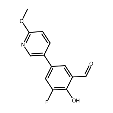 COc1ccc(-c2cc(F)c(O)c(C=O)c2)cn1